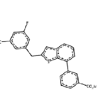 O=C(O)c1cccc(-c2cccc3cc(Cc4cc(F)cc(C(F)(F)F)c4)sc23)c1